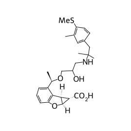 CSc1ccc(CC(C)(C)NCC(O)CO[C@H](C)c2cccc3c2[C@@H]2[C@H](O3)[C@H]2C(=O)O)cc1C